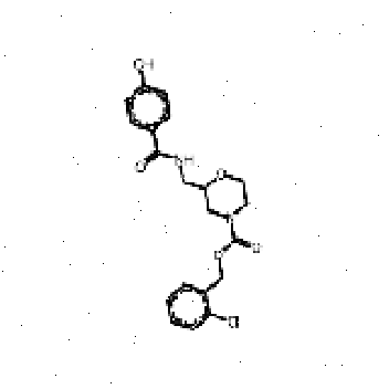 O=C(NCC1CN(C(=O)OCc2ccccc2Cl)CCO1)c1ccc(O)cc1